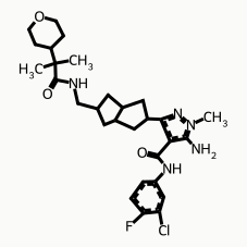 Cn1nc(C2CC3CC(CNC(=O)C(C)(C)C4CCOCC4)CC3C2)c(C(=O)Nc2ccc(F)c(Cl)c2)c1N